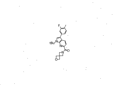 Cc1ccc(-c2cn(C(C)(C)C)c3nc(C(=O)N4CC5(COC5)C4)ccc23)cc1F